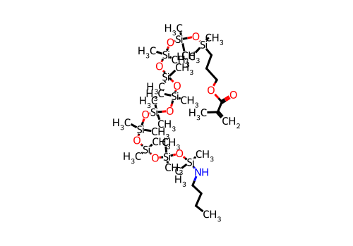 C=C(C)C(=O)OCCC[Si](C)(C)O[Si](C)(C)O[Si](C)(C)O[Si](C)(C)O[Si](C)(C)O[Si](C)(C)O[Si](C)(C)O[Si](C)(C)O[Si](C)(C)O[Si](C)(C)NCCCC